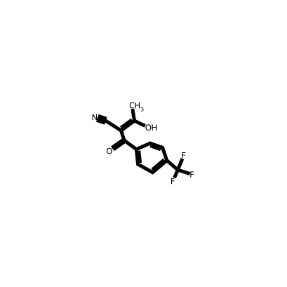 CC(O)=C(C#N)C(=O)c1ccc(C(F)(F)F)cc1